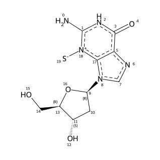 Nc1[nH]c(=O)c2ncn([C@H]3C[C@H](O)[C@@H](CO)O3)c2[n+]1[S-]